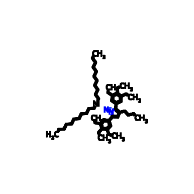 CCCCC1=C(c2cc(CC)c(CC)c(CC)c2)[N+](=[N-])C(c2cc(CC)c(CC)c(CC)c2)=C1.CCCCCCCCCC[CH2][Ni][CH2]CCCCCCCCCC